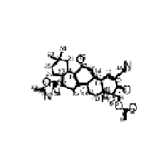 CC(=O)OC[C@]1(C)C(=O)C(C#N)=C[C@]2(C)C3=CC(=O)C4C5CC(C)(C)CC[C@]5(c5nnc(C)o5)CCC4[C@]3(C)CC[C@H]21